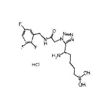 Cl.NC(CCCCB(O)O)c1nnnn1CC(=O)NCc1cc(F)cc(F)c1F